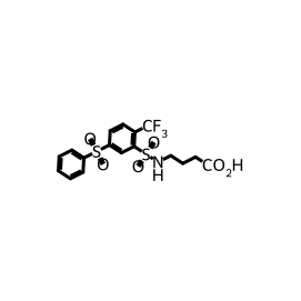 O=C(O)CCCNS(=O)(=O)c1cc(S(=O)(=O)c2ccccc2)ccc1C(F)(F)F